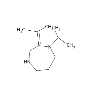 CC(C)=C1CNCCCN1C(C)C